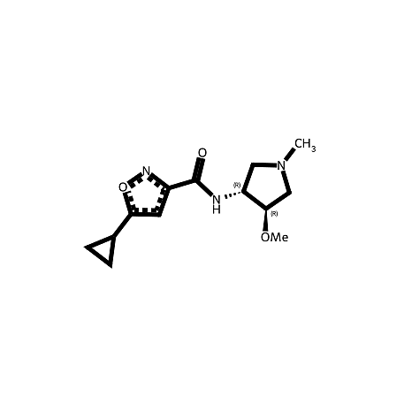 CO[C@@H]1CN(C)C[C@H]1NC(=O)c1cc(C2CC2)on1